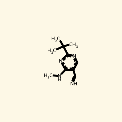 CNc1nc(C(C)(C)C)ncc1C=N